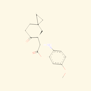 COc1ccc(N[C@H](C(=O)O)[C@@H]2CC3(CCC2=O)CC3)cc1